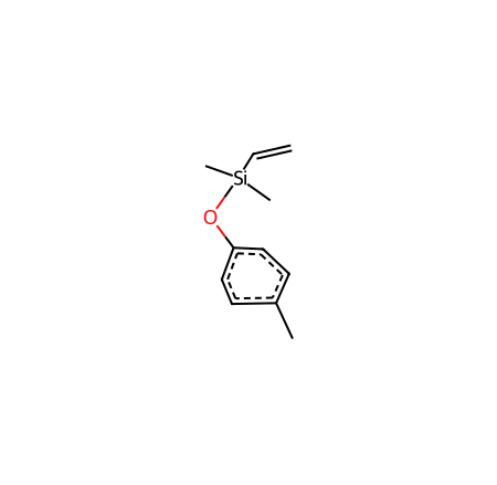 C=C[Si](C)(C)Oc1ccc(C)cc1